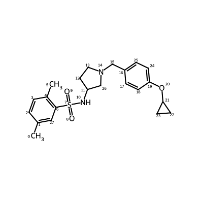 Cc1ccc(C)c(S(=O)(=O)NC2CCN(Cc3ccc(OC4CC4)cc3)C2)c1